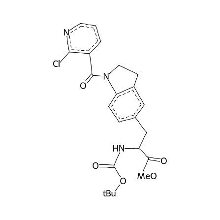 COC(=O)C(Cc1ccc2c(c1)CCN2C(=O)c1cccnc1Cl)NC(=O)OC(C)(C)C